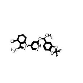 C[C@H](Oc1cc(-n2nc(C(F)(F)F)c3c2CCCC3Cl)cnn1)c1ccc2c(c1)OC(F)(F)O2